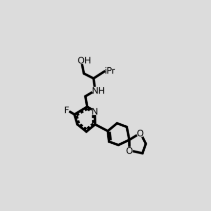 CC(C)C(CO)NCc1nc(C2=CCC3(CC2)OCCO3)ccc1F